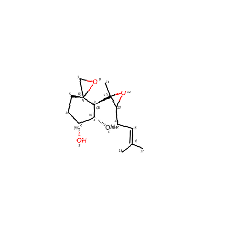 CO[C@@H]1[C@H](O)CC[C@]2(CO2)[C@H]1C1(C)OC1CC=C(C)C